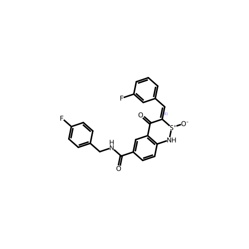 O=C(NCc1ccc(F)cc1)c1ccc2c(c1)C(=O)/C(=C\c1cccc(F)c1)[S+]([O-])N2